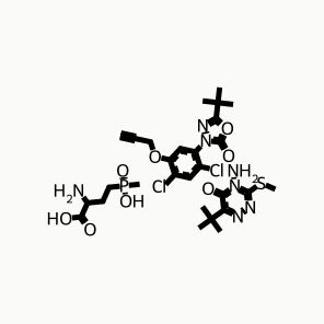 C#CCOc1cc(-n2nc(C(C)(C)C)oc2=O)c(Cl)cc1Cl.CP(=O)(O)CCC(N)C(=O)O.CSc1nnc(C(C)(C)C)c(=O)n1N